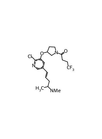 CNC(C)CC=Cc1cnc(Cl)c(OC2CCN(C(=O)CCC(F)(F)F)C2)c1